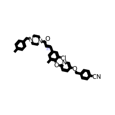 Cc1ccc(CN2CCN(C(=O)/C=C/c3cc(C)c(Oc4ccc(OCc5ccc(C#N)cc5)cn4)c(Cl)c3)CC2)cc1